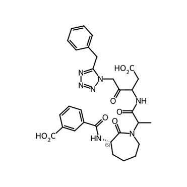 CC(C(=O)NC(CC(=O)O)C(=O)Cn1nnnc1Cc1ccccc1)N1CCCC[C@H](NC(=O)c2cccc(C(=O)O)c2)C1=O